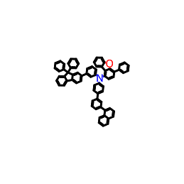 c1ccc(-c2ccc(N(c3ccc(-c4cccc(-c5cccc6ccccc56)c4)cc3)c3cccc(-c4ccc5c(c4)C(c4ccccc4)(c4ccccc4)c4ccccc4-5)c3)c3c2oc2ccccc23)cc1